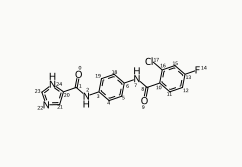 O=C(Nc1ccc(NC(=O)c2ccc(F)cc2Cl)cc1)c1cnc[nH]1